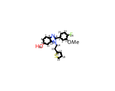 COc1cc(-c2nc3ccc(O)cc3n2CCc2cccs2)ccc1F